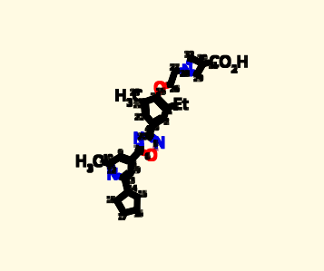 CCc1cc(-c2noc(-c3cc(C)nc(C4CCCC4)c3)n2)cc(C)c1OCCN1CC(C(=O)O)C1